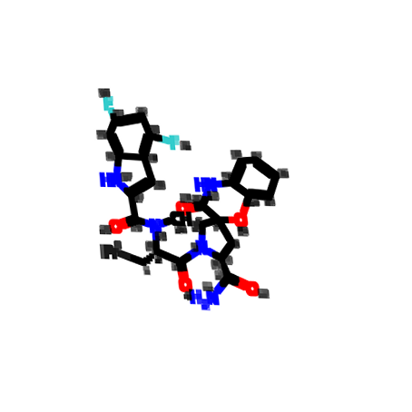 CC(C)C[C@@H](C(=O)N1CC2(C[C@H]1C(N)=O)Oc1ccccc1NC2=O)N(C)C(=O)c1cc2c(F)cc(F)cc2[nH]1